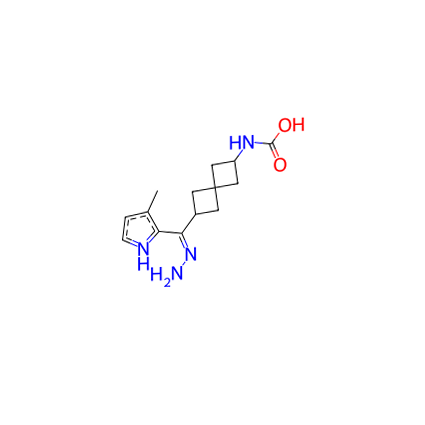 Cc1cc[nH]c1C(=NN)C1CC2(CC(NC(=O)O)C2)C1